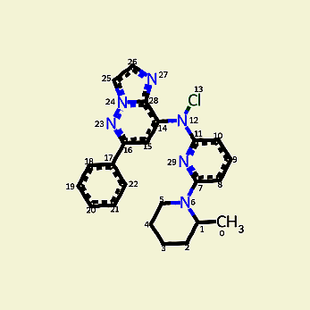 CC1CCCCN1c1cccc(N(Cl)c2cc(-c3ccccc3)nn3ccnc23)n1